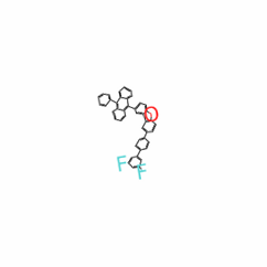 Fc1cc(F)cc(-c2ccc(-c3ccc4oc5ccc(-c6c7ccccc7c(-c7ccccc7)c7ccccc67)cc5c4c3)cc2)c1